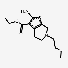 CCOC(=O)c1c(N)sc2c1CCN(CCOC)C2